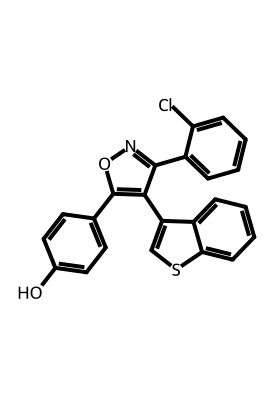 Oc1ccc(-c2onc(-c3ccccc3Cl)c2-c2csc3ccccc23)cc1